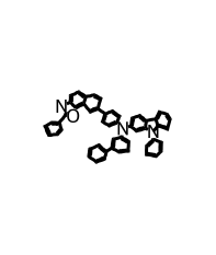 c1ccc(-c2cccc(N(c3ccc(-c4ccc5ccc6nc(-c7ccccc7)oc6c5c4)cc3)c3ccc4c5ccccc5n(-c5ccccc5)c4c3)c2)cc1